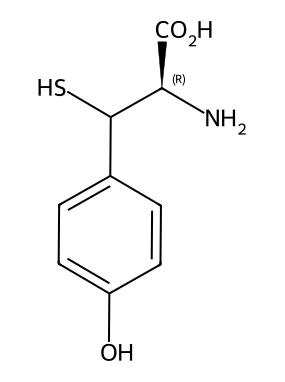 N[C@H](C(=O)O)C(S)c1ccc(O)cc1